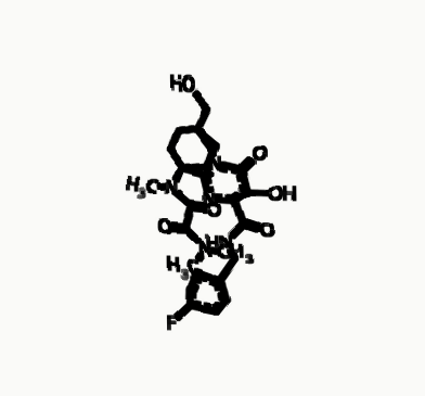 CN(C)C(=O)C(=O)N(C)C12CCC(CO)(CC1)Cn1c2nc(C(=O)NCc2ccc(F)cc2)c(O)c1=O